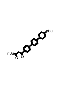 CCCCC(=O)CC(=O)c1ccc(-c2ccc(C3CCC(CCCC)CC3)cc2)cc1